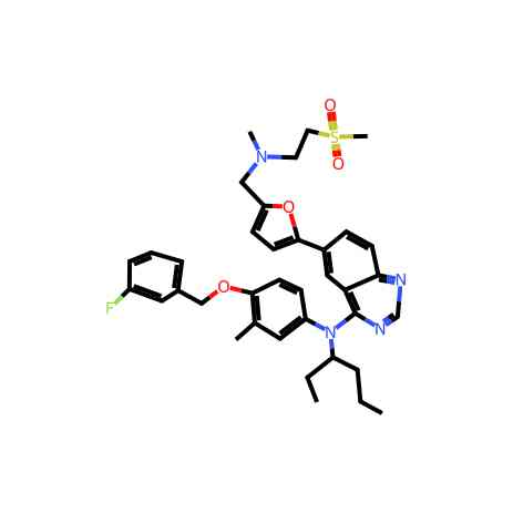 CCCC(CC)N(c1ccc(OCc2cccc(F)c2)c(C)c1)c1ncnc2ccc(-c3ccc(CN(C)CCS(C)(=O)=O)o3)cc12